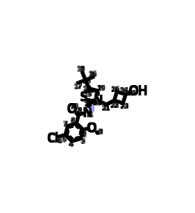 COc1ccc(Cl)cc1C(=O)/N=c1\sc(C(C)(C)C)cn1CC1CC(O)C1